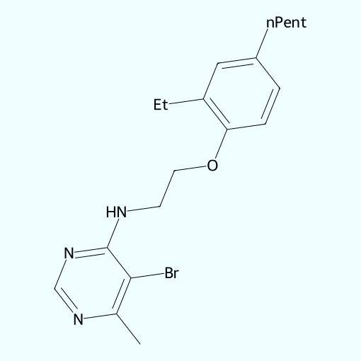 CCCCCc1ccc(OCCNc2ncnc(C)c2Br)c(CC)c1